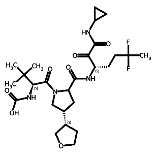 CC(F)(F)CC[C@H](NC(=O)C1CC([C@@H]2CCOC2)CN1C(=O)[C@@H](NC(=O)O)C(C)(C)C)C(=O)C(=O)NC1CC1